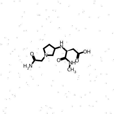 CNC(=O)[C@H](CC(=O)O)NC1CCN(CC(N)=O)C1